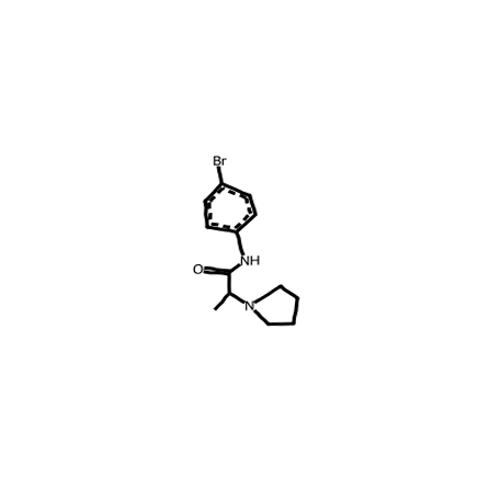 CC(C(=O)Nc1ccc(Br)cc1)N1CCCC1